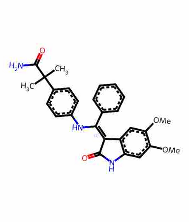 COc1cc2c(cc1OC)/C(=C(/Nc1ccc(C(C)(C)C(N)=O)cc1)c1ccccc1)C(=O)N2